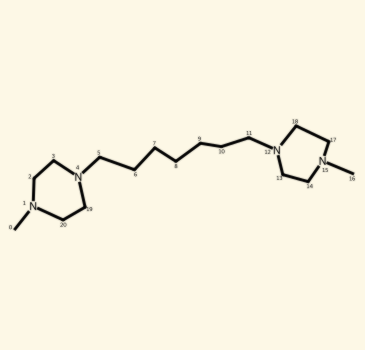 CN1CCN(CCCCCCCN2CCN(C)CC2)CC1